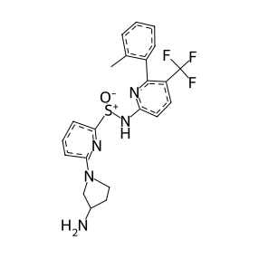 Cc1ccccc1-c1nc(N[S+]([O-])c2cccc(N3CCC(N)C3)n2)ccc1C(F)(F)F